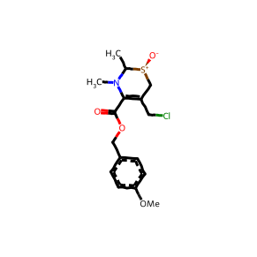 COc1ccc(COC(=O)C2=C(CCl)C[S@+]([O-])C(C)N2C)cc1